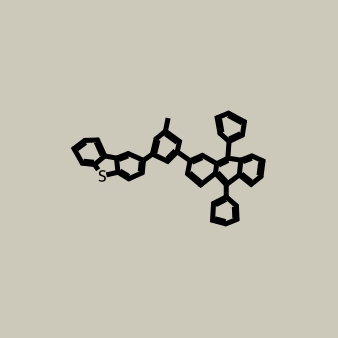 Cc1cc(-c2ccc3c(-c4ccccc4)c4ccccc4c(-c4ccccc4)c3c2)cc(-c2ccc3sc4ccccc4c3c2)c1